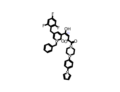 O=C(/C=C(/O)c1cc(Cc2c(F)cc(F)cc2F)cn(Cc2ccccc2)c1=O)C(=O)N1CCN(c2ccc(-n3cccc3)cc2)CC1